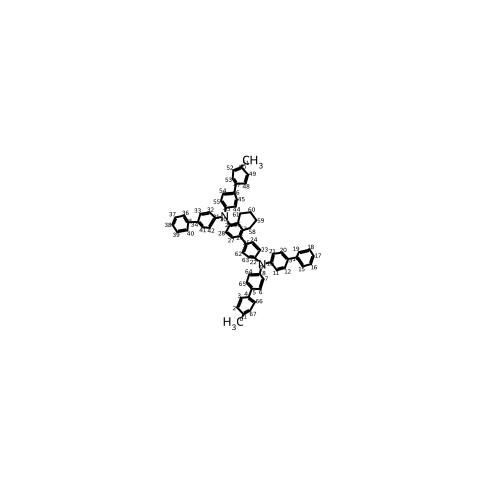 Cc1ccc(-c2ccc(N(c3ccc(-c4ccccc4)cc3)c3ccc(-c4ccc(N(c5ccc(-c6ccccc6)cc5)c5ccc(-c6ccc(C)cc6)cc5)c5c4CCCC5)cc3)cc2)cc1